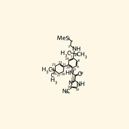 CSCCNC(C)(C)c1ccc(NC(=O)c2nc(C#N)c[nH]2)c(C2=CCC(C)(C)CC2)c1